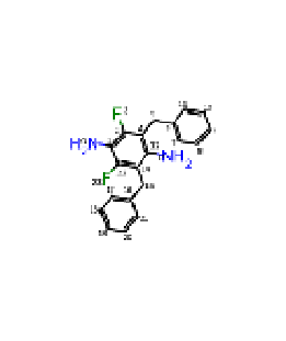 Nc1c(F)c(Cc2ccccc2)c(N)c(Cc2ccccc2)c1F